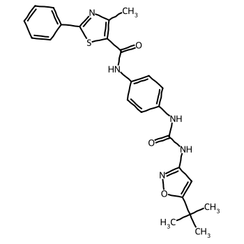 Cc1nc(-c2ccccc2)sc1C(=O)Nc1ccc(NC(=O)Nc2cc(C(C)(C)C)on2)cc1